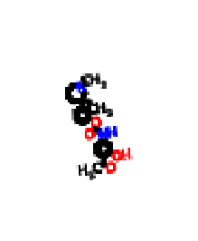 CC[C@@]1(c2cccc(OC(=O)Nc3ccc(C(C)=O)c(O)c3)c2)CCCCN(C)C1